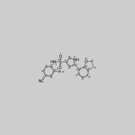 N#Cc1ccc(NS(=O)(=O)c2c[nH]c(-c3cccc4c3OCC4)c2)c(F)c1